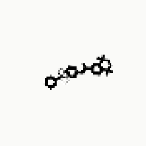 C/C(=C\c1ccc2c(c1)OC(c1ccccc1)O2)c1ccc2c(c1)C(C)(C)CCC2(C)C